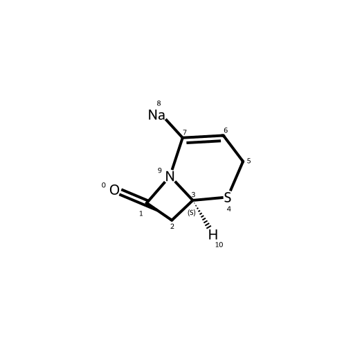 O=C1C[C@@H]2SCC=[C]([Na])N12